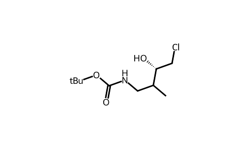 CC(CNC(=O)OC(C)(C)C)[C@H](O)CCl